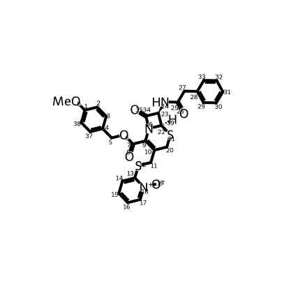 COc1ccc(COC(=O)C2=C(CSc3cccc[n+]3[O-])CS[C@@H]3[C@H](NC(=O)Cc4ccccc4)C(=O)N23)cc1